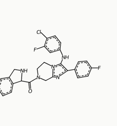 O=C(C1NCc2ccccc21)N1CCn2c(nc(-c3ccc(F)cc3)c2Nc2ccc(Cl)c(F)c2)C1